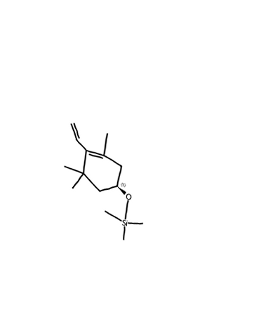 C=CC1=C(C)C[C@@H](O[Si](C)(C)C)CC1(C)C